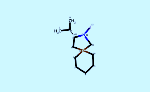 CC(C)[C@H]1CS2(CCCCC2)CN1I